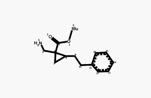 CC(C)(C)OC(=O)C1(CN)CC1CCc1ccccc1